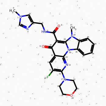 Cn1cnc(CNC(=O)c2c(=O)c3cc(F)c(N4CCOCC4)nc3n3c4ccccc4n(C)c23)c1